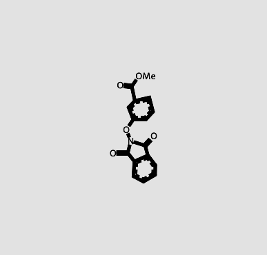 COC(=O)c1cccc(ON2C(=O)c3ccccc3C2=O)c1